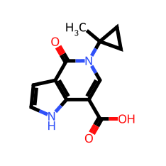 CC1(n2cc(C(=O)O)c3[nH]ccc3c2=O)CC1